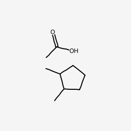 CC(=O)O.CC1CCCC1C